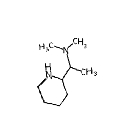 CC(C1CCCCN1)N(C)C